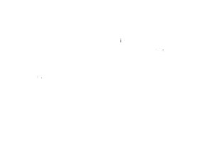 COc1ccc(Oc2c(Cl)c(C)c(N=O)c(Cl)c2I)cc1C(C)C